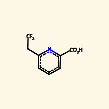 O=C(O)c1cccc(CC(F)(F)F)n1